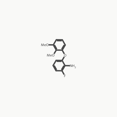 COc1cccc(Oc2cccc(F)c2N)c1OC